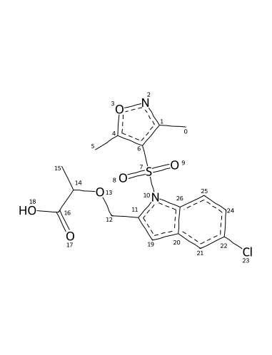 Cc1noc(C)c1S(=O)(=O)n1c(COC(C)C(=O)O)cc2cc(Cl)ccc21